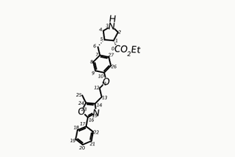 CCOC(=O)[C@H]1CNC[C@H]1Cc1ccc(OCCc2nc(-c3ccccc3)oc2C)cc1